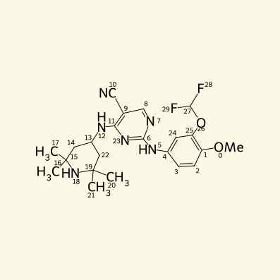 COc1ccc(Nc2ncc(C#N)c(NC3CC(C)(C)NC(C)(C)C3)n2)cc1OC(F)F